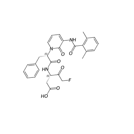 Cc1cccc(C)c1C(=O)Nc1cccn([C@@H](Cc2ccccc2)C(=O)N[C@@H](CC(=O)O)C(=O)CF)c1=O